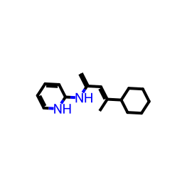 C=C(/C=C(\C)C1CCCCC1)NC1C=CC=CN1